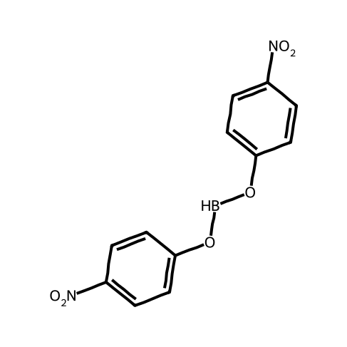 O=[N+]([O-])c1ccc(OBOc2ccc([N+](=O)[O-])cc2)cc1